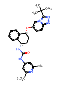 CCOC(=O)c1cc(NC(=O)N[C@H]2CC[C@@H](Oc3ccc4nnc(C(C)(C)OC)n4c3)c3ccccc32)cc(C(C)(C)C)n1